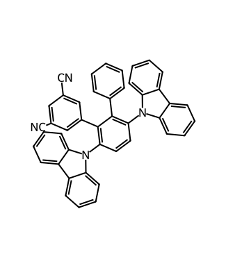 N#Cc1cc(C#N)cc(-c2c(-n3c4ccccc4c4ccccc43)ccc(-n3c4ccccc4c4ccccc43)c2-c2ccccc2)c1